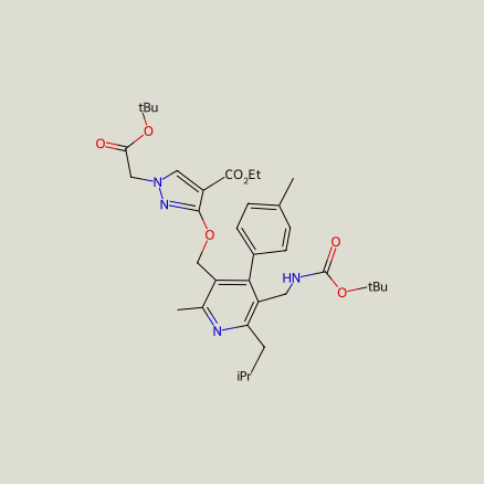 CCOC(=O)c1cn(CC(=O)OC(C)(C)C)nc1OCc1c(C)nc(CC(C)C)c(CNC(=O)OC(C)(C)C)c1-c1ccc(C)cc1